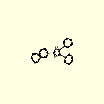 c1ccc(-c2nc(-c3ccc4ccccc4c3)oc2-c2ccccc2)cc1